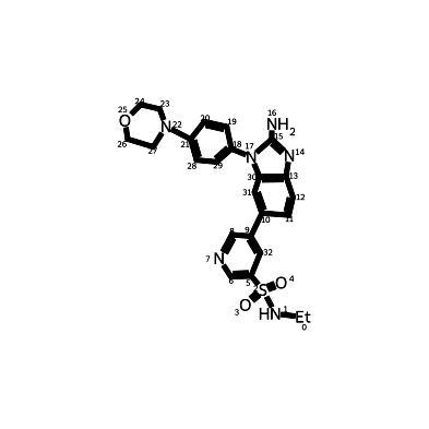 CCNS(=O)(=O)c1cncc(-c2ccc3nc(N)n(-c4ccc(N5CCOCC5)cc4)c3c2)c1